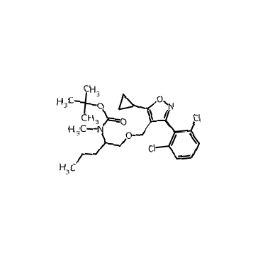 CCCC(COCc1c(-c2c(Cl)cccc2Cl)noc1C1CC1)N(C)C(=O)OC(C)(C)C